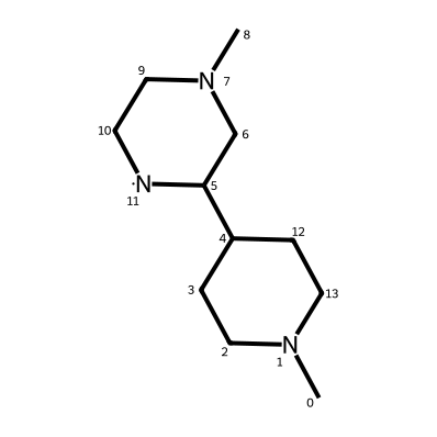 CN1CCC(C2CN(C)CC[N]2)CC1